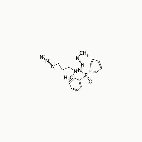 CN=NN(N(C)CCCN=[N+]=[N-])P(=O)(c1ccccc1)c1ccccc1